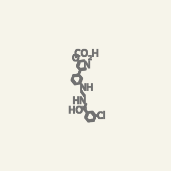 O=C(O)Oc1cncc(-c2cccc(NCCNC[C@H](O)c3cccc(Cl)c3)c2)c1